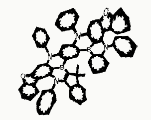 CC1(C)C2=C(c3ccccc31)N(c1ccccc1)c1c3c(cc4oc5ccccc5c14)N(c1ccccc1)c1cc4c(cc1B23)B1c2ccccc2N(c2ccccc2)c2c1c(cc1oc3ccccc3c21)N4c1ccccc1